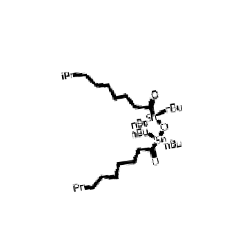 CCC[CH2][Sn]([CH2]CCC)([O][Sn]([CH2]CCC)([CH2]CCC)[C](=O)CCCCCCC(C)C)[C](=O)CCCCCCC(C)C